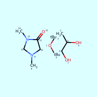 CC(C)(C)OC(C)(C)C.CC(O)CO.CN1CC(=O)N(C)C1